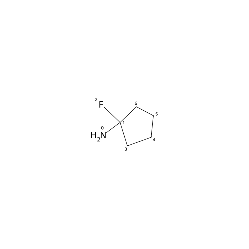 NC1(F)CCCC1